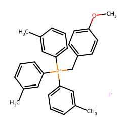 COc1ccc(C[P+](c2cccc(C)c2)(c2cccc(C)c2)c2cccc(C)c2)cc1.[I-]